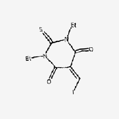 CCN1C(=O)C(=CI)C(=O)N(CC)C1=S